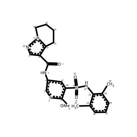 COc1ncc(NC(=O)c2cnn3c2CCCC3)cc1S(=O)(=O)Nc1c(C)cccc1C